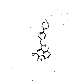 Cc1ncnc2c1c(NCc1ccc(N3CCCCC3)nc1)cc(=O)n2O